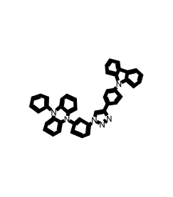 c1ccc(N2c3ccccc3N(c3cccc(-n4cc(-c5ccc(-n6c7ccccc7c7ccccc76)cc5)nn4)c3)c3ccccc32)cc1